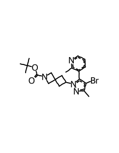 Cc1ncccc1-c1c(Br)c(C)nn1C1CC2(C1)CN(C(=O)OC(C)(C)C)C2